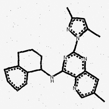 Cc1cnc2c(NC3CCCc4ccccc43)nc(-n3nc(C)cc3C)nc2c1